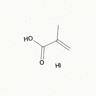 C=C(C)C(=O)O.I